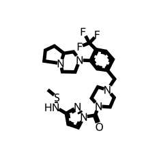 CSNc1ccn(C(=O)N2CCN(Cc3ccc(C(F)(F)F)c(N4CCN5CCCC5C4)c3)CC2)n1